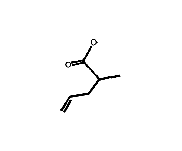 C=CCC(C)C([O])=O